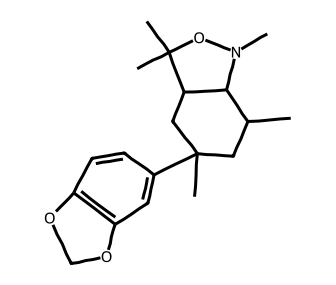 CC1CC(C)(c2ccc3c(c2)OCO3)CC2C1N(C)OC2(C)C